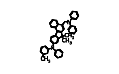 CC1C=CC=C(N(C2=CCCC=C2)c2ccc3c(c2)C(C)(C)c2cc(CN(c4ccccc4)c4ccccc4)c4ccccc4c2-3)C1